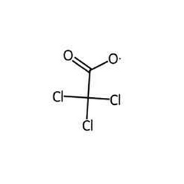 [O]C(=O)C(Cl)(Cl)Cl